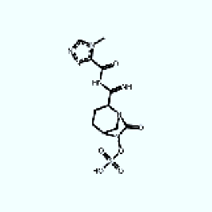 Cn1cnnc1C(=O)NC(=N)C1CCC2CN1C(=O)N2OS(=O)(=O)O